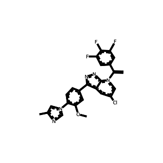 C=C(c1cc(F)c(F)c(F)c1)n1cc(Cl)cc2c(-c3ccc(-n4cnc(C)c4)c(OC)c3)nnc1-2